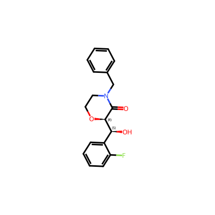 O=C1[C@@H]([C@@H](O)c2ccccc2F)OCCN1Cc1ccccc1